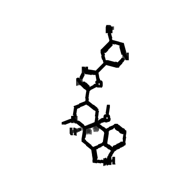 CO[C@]12CC(c3nnc(-c4cncc(Br)c4)o3)CN(C)[C@@H]1Cc1c[nH]c3cccc2c13